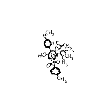 COc1ccc([C@@H]2[C@@H](O)CN(S(=O)(=O)c3ccc(C)cc3)C[C@H]2O[Si](C(C)C)(C(C)C)C(C)C)cc1